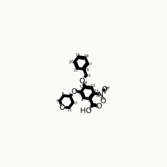 O=C(O)c1cc(OC2CCOCC2)c(OCc2ccccc2)cc1[N+](=O)[O-]